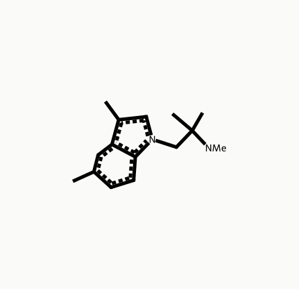 CNC(C)(C)Cn1cc(C)c2cc(C)ccc21